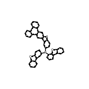 c1ccc2c(c1)oc1ccc(N(c3ccc4sc5cc6c7ccccc7c7ccccc7c6cc5c4c3)c3cccc4c3oc3ccccc34)cc12